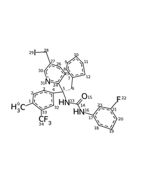 Cc1ccc([C@](Cc2ccccc2)(NC(=O)Nc2cccc(F)c2)c2ccc(CI)cn2)cc1C(F)(F)F